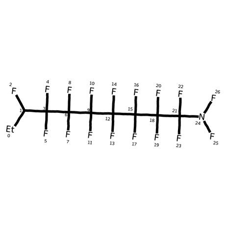 CCC(F)C(F)(F)C(F)(F)C(F)(F)C(F)(F)C(F)(F)C(F)(F)C(F)(F)N(F)F